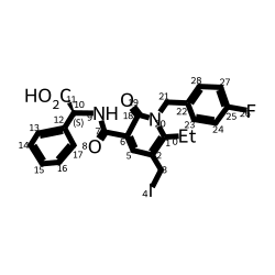 CCc1c(CI)cc(C(=O)N[C@H](C(=O)O)c2ccccc2)c(=O)n1Cc1ccc(F)cc1